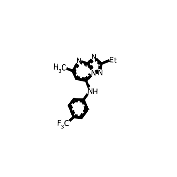 CCc1nc2nc(C)cc(Nc3ccc(C(F)(F)F)cc3)n2n1